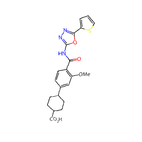 COc1cc(C2CCC(C(=O)O)CC2)ccc1C(=O)Nc1nnc(-c2cccs2)o1